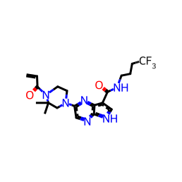 C=CC(=O)N1CCN(c2cnc3[nH]cc(C(=O)NCCCC(F)(F)F)c3n2)CC1(C)C